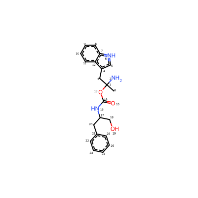 CC(N)(Cc1c[nH]c2ccccc12)OC(=O)NC(CO)Cc1ccccc1